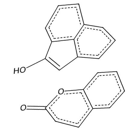 O=c1ccc2ccccc2o1.OC1=Cc2cccc3cccc1c23